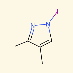 Cc1cn(I)nc1C